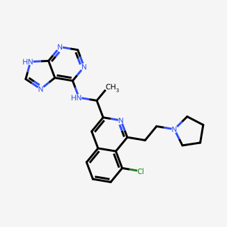 CC(Nc1ncnc2[nH]cnc12)c1cc2cccc(Cl)c2c(CCN2CCCC2)n1